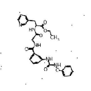 CCOC(=O)C(Cc1cccnc1)NC(=O)CNC(=O)c1cccc(NC(=O)NOc2ccccc2)c1